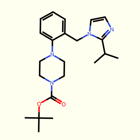 CC(C)c1nccn1Cc1ccccc1N1CCN(C(=O)OC(C)(C)C)CC1